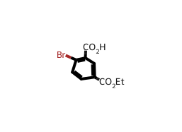 CCOC(=O)c1ccc(Br)c(C(=O)O)c1